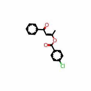 C/C(=C\C(=O)c1ccccc1)OC(=O)c1ccc(Cl)cc1